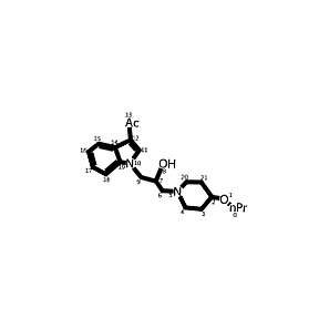 CCCOC1CCN(CC(O)Cn2cc(C(C)=O)c3ccccc32)CC1